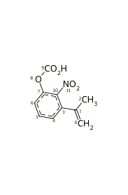 C=C(C)c1cccc(OC(=O)O)c1[N+](=O)[O-]